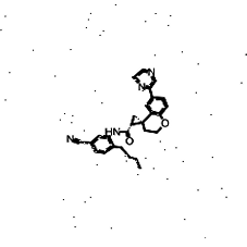 CCCCc1ccc(C#N)cc1NC(=O)[C@@H]1C[C@]12CCOc1ccc(-c3cnccn3)cc12